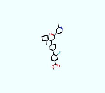 COC(=O)c1ccc(-c2ccc(C(CC(=O)c3ccnc(C)c3)c3ccccc3C)cc2)c(F)c1